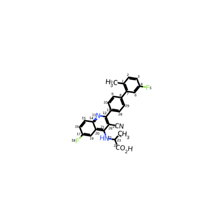 Cc1ccc(F)cc1-c1ccc(-c2nc3ccc(F)cc3c(NC(C)C(=O)O)c2C#N)cc1